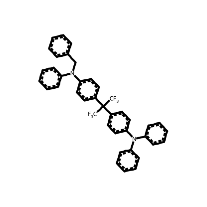 FC(F)(F)C(c1ccc(N(Cc2ccccc2)c2ccccc2)cc1)(c1ccc(N(c2ccccc2)c2ccccc2)cc1)C(F)(F)F